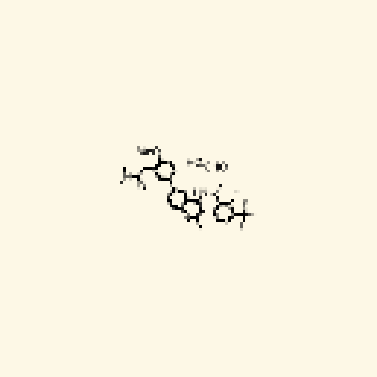 COc1ccc(-c2ccc3nc(C)nc(N[C@@H](C)c4cccc(C(C)(F)F)c4F)c3c2)cc1CC(=O)N(C)C.O=CO